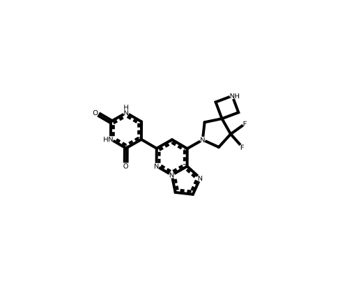 O=c1[nH]cc(-c2cc(N3CC(F)(F)C4(CNC4)C3)c3nccn3n2)c(=O)[nH]1